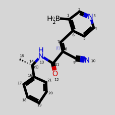 Bc1cnccc1/C=C(\C#N)C(=O)N[C@@H](C)c1ccccc1